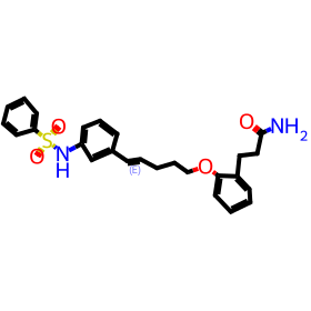 NC(=O)CCc1ccccc1OCCC/C=C/c1cccc(NS(=O)(=O)c2ccccc2)c1